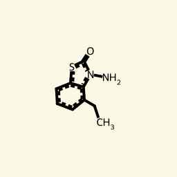 CCc1cccc2sc(=O)n(N)c12